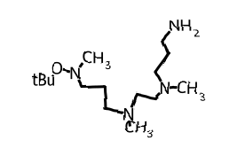 CN(CCCN)CCN(C)CCCN(C)OC(C)(C)C